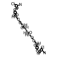 CN(C)[C@H]1Cc2c(C#N)cc(Cl)cc2[C@@H]1Oc1ccc(S(=O)(=O)NCCOCCOCCNC(=O)NCCCCNC(=O)NCCOCCOCCNS(=O)(=O)c2ccc(O[C@@H]3CCc4c(C#N)cc(Cl)cc43)cc2)cc1